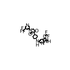 O=C1CN(c2cncc(C(F)(F)F)c2)C(=O)N1[C@H]1CC[C@H](Nc2cnc3[nH]nc(OC(F)F)c3c2)CC1